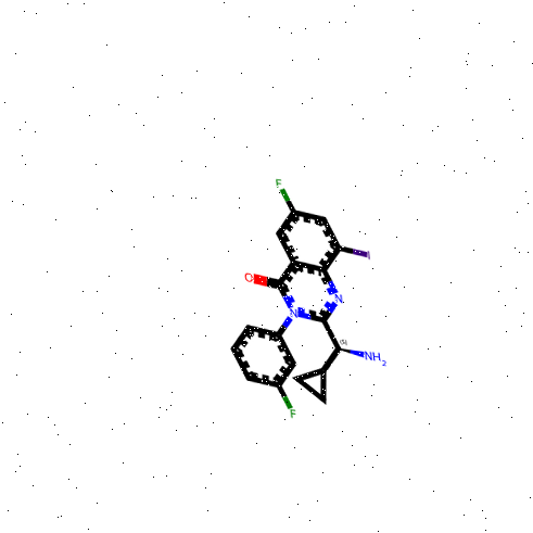 N[C@H](c1nc2c(I)cc(F)cc2c(=O)n1-c1cccc(F)c1)C1CC1